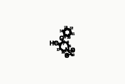 CS(=O)(=O)N1CC[C@H](Oc2ccccc2)[C@@H](O)CC1